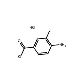 Cl.Nc1ccc(C(=O)Cl)cc1I